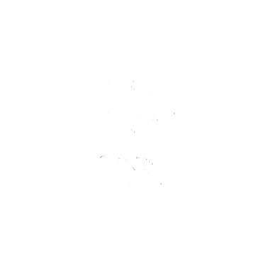 C[C@H]1CN(c2c([N+](=O)[O-])cnc3c2CCO3)C[C@@H](NC(=O)O)[C@]1(C)O